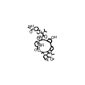 CCn1c(-c2cccnc2[C@H](C)OC)c2c3cc(ccc31)-c1cc(O)cc(c1)C[C@H](NC(=O)[C@H](C(C)C)N1CC[C@]3(CCCN(C(=O)[C@@H]4CN4)C3)C1)C(=O)N1CCC[C@H](N1)C(=O)OCC(C)(C)C2